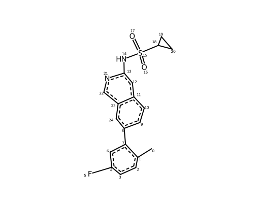 Cc1ccc(F)cc1-c1ccc2cc(NS(=O)(=O)C3CC3)ncc2c1